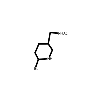 CCC1CCC(CNC(C)=O)CN1